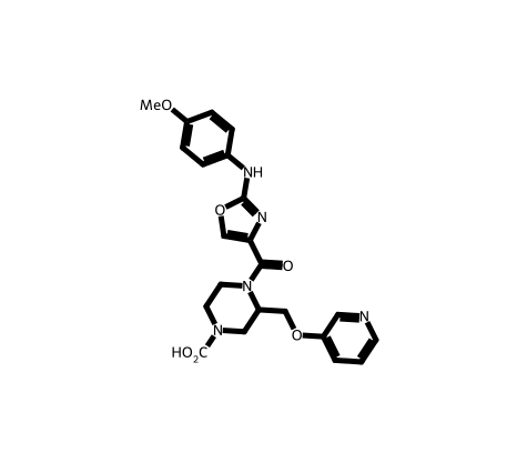 COc1ccc(Nc2nc(C(=O)N3CCN(C(=O)O)CC3COc3cccnc3)co2)cc1